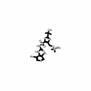 CC(C)c1cncc(C(C)C)c1NC(=O)NS(=O)(=O)c1sc(C(C)(C)O)nc1CO[Si](C)(C)C(C)(C)C